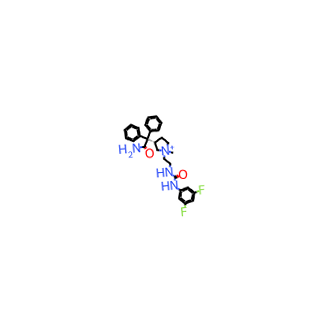 C[N+]1(CCNC(=O)Nc2cc(F)cc(F)c2)CC[C@@H](C(C(N)=O)(c2ccccc2)c2ccccc2)C1